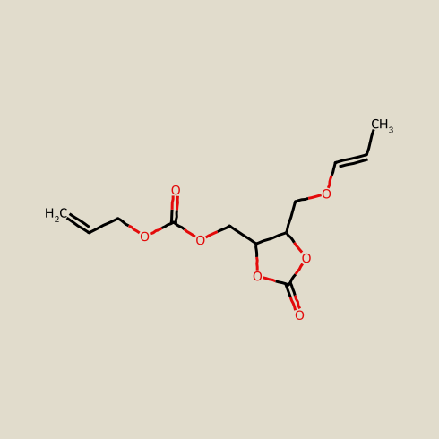 C=CCOC(=O)OCC1OC(=O)OC1COC=CC